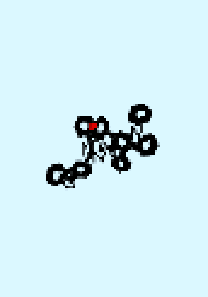 c1ccc(-c2nc(-c3ccc4oc5ccccc5c4c3)nc(-n3c4ccccc4c4c5c6ccccc6n(-c6ccccc6)c5cc(-c5ccccc5)c43)n2)cc1